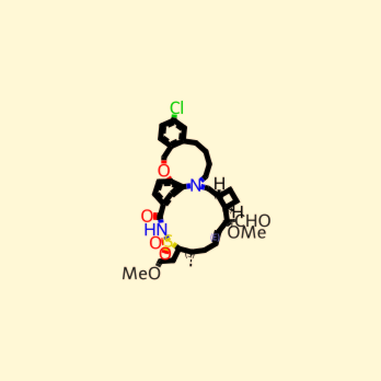 COCCC1[C@@H](C)C/C=C/[C@@](C=O)(OC)[C@@H]2CC[C@H]2CN2CCCCc3cc(Cl)ccc3COc3ccc(cc32)C(=O)NS1(=O)=O